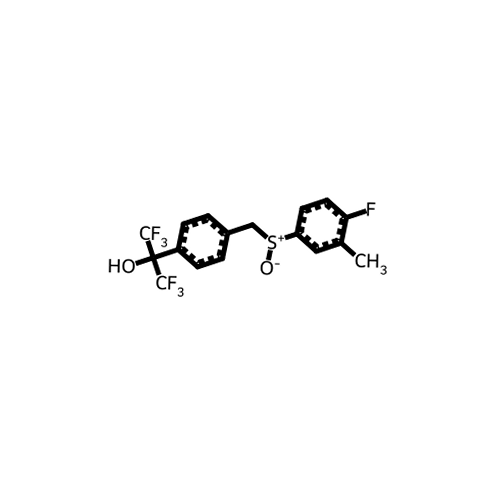 Cc1cc([S+]([O-])Cc2ccc(C(O)(C(F)(F)F)C(F)(F)F)cc2)ccc1F